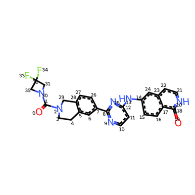 O=C(N1CCc2cc(-c3nccc(Nc4ccc5c(=O)[nH]ccc5c4)n3)ccc2C1)N1CC(F)(F)C1